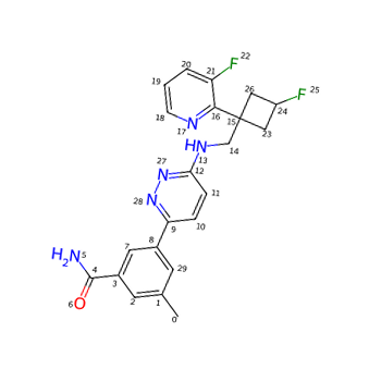 Cc1cc(C(N)=O)cc(-c2ccc(NCC3(c4ncccc4F)CC(F)C3)nn2)c1